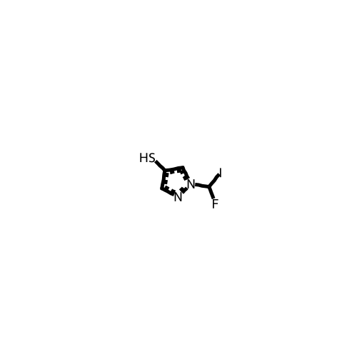 FC(I)n1cc(S)cn1